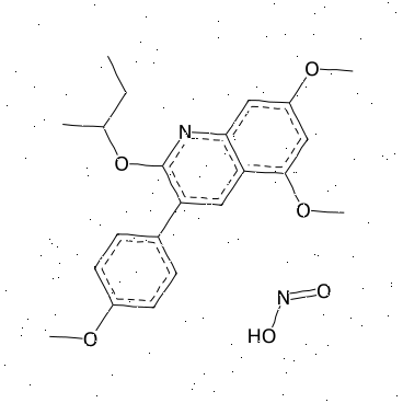 CCC(C)Oc1nc2cc(OC)cc(OC)c2cc1-c1ccc(OC)cc1.O=NO